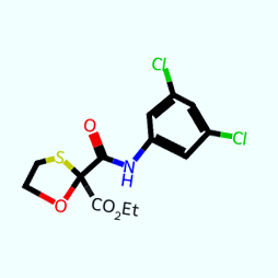 CCOC(=O)C1(C(=O)Nc2cc(Cl)cc(Cl)c2)OCCS1